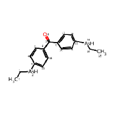 CC[AsH]c1ccc(C(=O)c2ccc([AsH]CC)cc2)cc1